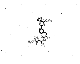 CCN(Cc1cccc(-c2cn3ccnc3c(OC)n2)c1)C(=O)NC(CC(=O)N(C)C)C(F)(F)F